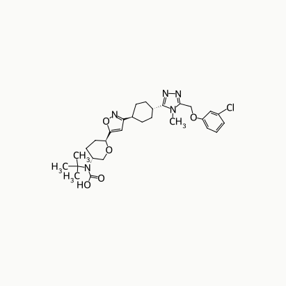 Cn1c(COc2cccc(Cl)c2)nnc1[C@H]1CC[C@H](c2cc([C@@H]3CC[C@@H](N(C(=O)O)C(C)(C)C)CO3)on2)CC1